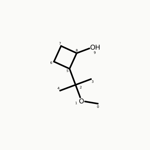 COC(C)(C)C1CCC1O